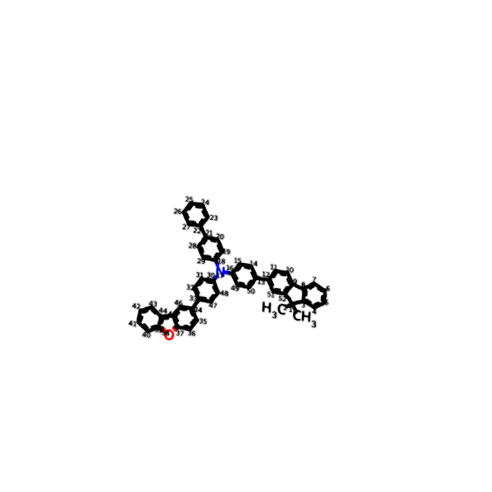 CC1(C)c2ccccc2-c2ccc(-c3ccc(N(c4ccc(-c5ccccc5)cc4)c4ccc(-c5ccc6oc7ccccc7c6c5)cc4)cc3)cc21